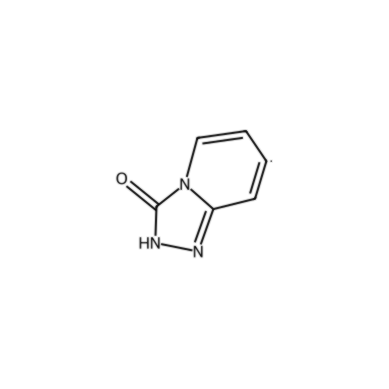 O=c1[nH]nc2c[c]ccn12